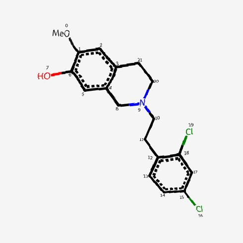 COc1cc2c(cc1O)CN(CCc1ccc(Cl)cc1Cl)CC2